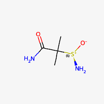 CC(C)(C(N)=O)[S@+](N)[O-]